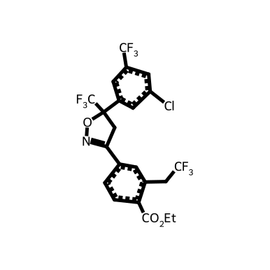 CCOC(=O)c1ccc(C2=NOC(c3cc(Cl)cc(C(F)(F)F)c3)(C(F)(F)F)C2)cc1CC(F)(F)F